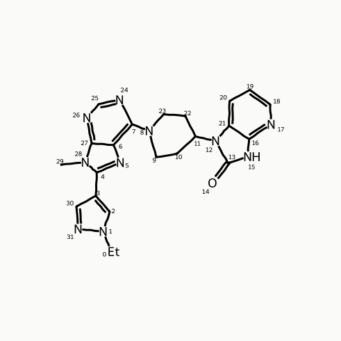 CCn1cc(-c2nc3c(N4CCC(n5c(=O)[nH]c6ncccc65)CC4)ncnc3n2C)cn1